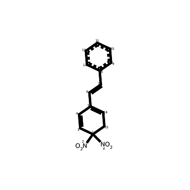 O=[N+]([O-])C1([N+](=O)[O-])C=CC(C=Cc2ccccc2)=CC1